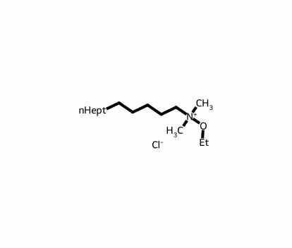 CCCCCCCCCCCC[N+](C)(C)OCC.[Cl-]